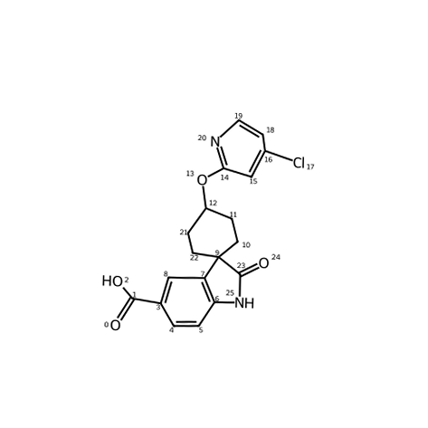 O=C(O)c1ccc2c(c1)C1(CCC(Oc3cc(Cl)ccn3)CC1)C(=O)N2